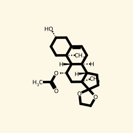 CC(=O)O[C@H]1C[C@@]2(C)[C@@H](CCC23OCCO3)[C@@H]2CC=C3C[C@@H](O)CC[C@]3(C)[C@H]21